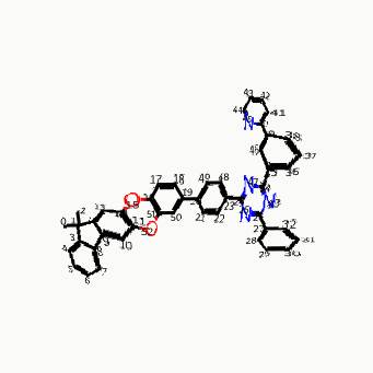 CC1(C)c2ccccc2-c2cc3c(cc21)Oc1ccc(-c2ccc(-c4nc(-c5ccccc5)nc(-c5cccc(-c6ccccn6)c5)n4)cc2)cc1O3